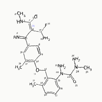 CN/C(Cl)=C(\C(=N)c1ccc(OCc2c(C)cccc2N(N)C(=O)N(C)N)c(C)c1)C(F)P